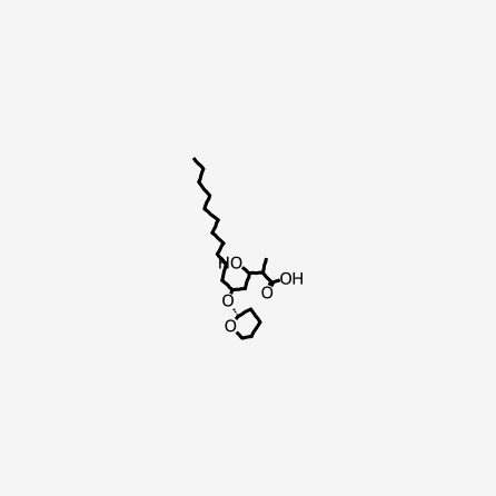 CCCCCCCCCCCC(CC(O)C(C)C(=O)O)O[C@@H]1CCCCO1